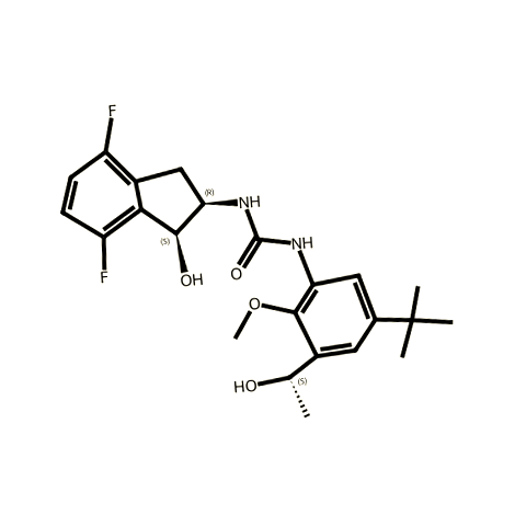 COc1c(NC(=O)N[C@@H]2Cc3c(F)ccc(F)c3[C@@H]2O)cc(C(C)(C)C)cc1[C@H](C)O